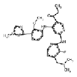 CCC(=O)c1cnc(Nc2nccc(CN(C)C)c2F)cc1Nc1cccc(-c2ncn(C)n2)c1OC